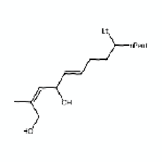 CCCCCC(CC)CCC=CC(O)C=C(C)CO